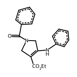 CCOC(=O)C1=C(Nc2ccccc2)CN(C(=O)c2ccccc2)C1